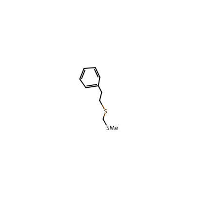 [CH2]SCSCCc1ccccc1